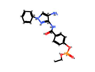 CCO[PH](=O)Oc1ccc(C(=O)Nc2nn(-c3ccccc3)cc2N)cc1